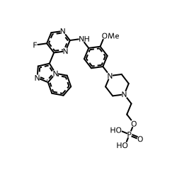 COc1cc(N2CCN(CCOP(=O)(O)O)CC2)ccc1Nc1ncc(F)c(-c2cnc3ccccn23)n1